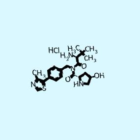 Cc1ncsc1-c1ccc(CN(C(=O)[C@@H]2C[C@@H](O)CN2)C(=O)[C@@H](N)C(C)(C)C)cc1.Cl